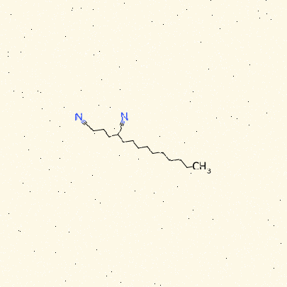 CCCCCCCCCCC(C#N)CCCC#N